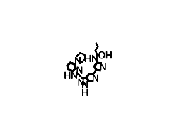 CCCC(O)Nc1cncc(-c2cc3c(-c4nc5c(N6CCCCC6)cccc5[nH]4)n[nH]c3cn2)c1